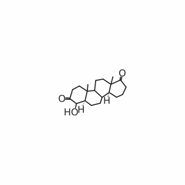 CC12CCC3C(CC[C@H]4C(O)C(=O)CCC34C)[C@@H]1CCCC2=O